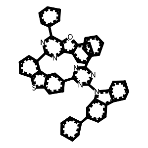 c1ccc(-c2ccc3c4ccccc4n(-c4nc(-c5ccccc5)nc(-c5ccc6sc7cccc(-c8nc(-c9ccccc9)c9oc%10ccccc%10c9n8)c7c6c5)n4)c3c2)cc1